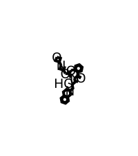 O=C1c2ccccc2OC(OC2CN(C3COC3)C2)CN1C[C@H](O)CN1CCc2ccccc2C1